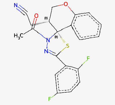 CC(=O)N1N=C(c2cc(F)ccc2F)S[C@]12c1ccccc1OC[C@H]2CC#N